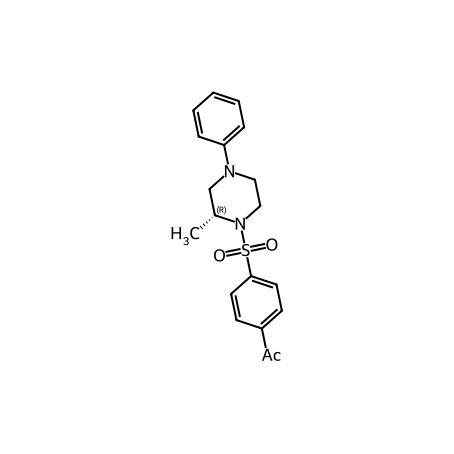 CC(=O)c1ccc(S(=O)(=O)N2CCN(c3ccccc3)C[C@H]2C)cc1